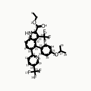 CCOC(=O)c1[nH]c2ccc(-c3ccc(C(F)(F)F)cn3)c(-c3ccc(OC(C)C)cc3)c2c1C(F)(F)F